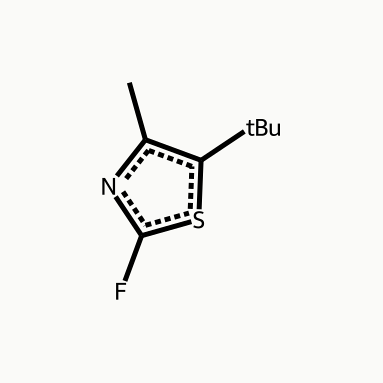 Cc1nc(F)sc1C(C)(C)C